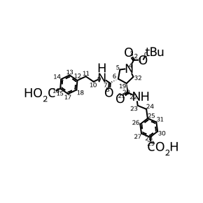 CC(C)(C)OC(=O)N1C[C@@H](C(=O)NCCc2ccc(C(=O)O)cc2)[C@H](C(=O)NCCc2ccc(C(=O)O)cc2)C1